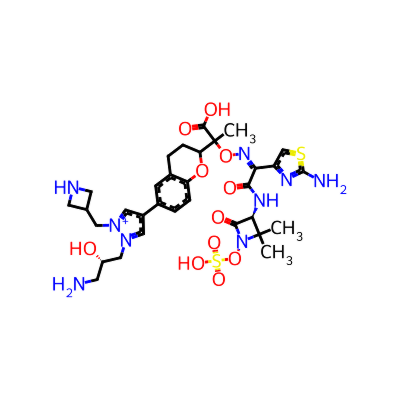 CC(O/N=C(\C(=O)N[C@@H]1C(=O)N(OS(=O)(=O)O)C1(C)C)c1csc(N)n1)(C(=O)O)C1CCc2cc(-c3cn(C[C@@H](O)CN)[n+](CC4CNC4)c3)ccc2O1